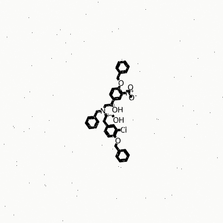 O=[N+]([O-])c1cc([C@@H](O)CN(Cc2ccccc2)[C@H](CO)Cc2ccc(OCc3ccccc3)c(Cl)c2)ccc1OCc1ccccc1